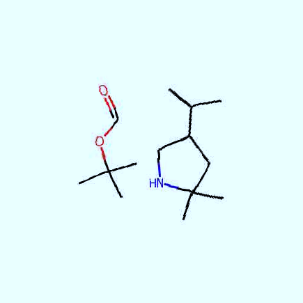 CC(C)(C)OC=O.CC(C)C1CNC(C)(C)C1